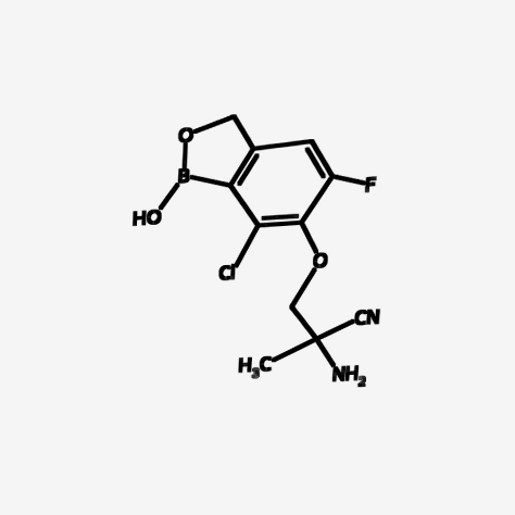 CC(N)(C#N)COc1c(F)cc2c(c1Cl)B(O)OC2